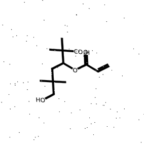 C=CC(=O)OC(CC(C)(C)CO)C(C)(C)C(=O)O